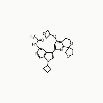 CC(=O)Nc1cc2c(-c3cc(OC4COC4)c4c(n3)C3(CCOC3)OCC4)cn(C3CCC3)c2cn1